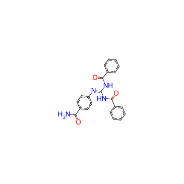 NC(=O)c1ccc(N=C(NC(=O)c2ccccc2)NC(=O)c2ccccc2)cc1